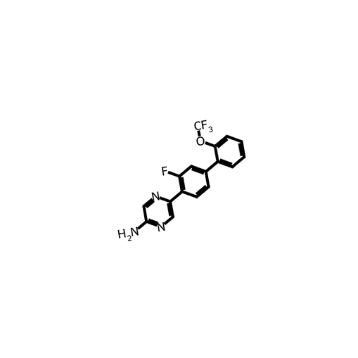 Nc1cnc(-c2ccc(-c3ccccc3OC(F)(F)F)cc2F)cn1